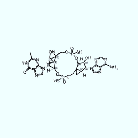 Cc1nc2c(ncn2[C@@H]2O[C@@H]3COP(=O)(S)O[C@H]4[C@@H](O)[C@H](n5cnc6c(N)ncnc65)[C@H]5CC54COP(=O)(S)O[C@@H]2[C@@H]3CO)c(=O)[nH]1